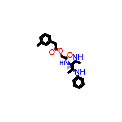 CC(=N)/C(NC(=O)COC(=O)Cc1cccc(C)c1)=C(/C)Nc1ccccc1